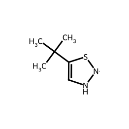 CC(C)(C)C1=CN[N]S1